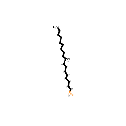 CCCCCCCCCCCCCCCCCCP.[W]